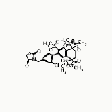 CS(=O)(=O)c1cc2c(cc1-c1ccc(CN3C(=O)CSC3=O)cc1Cl)C(S(C)(=O)=O)(S(C)(=O)=O)CCC2(S(C)(=O)=O)S(C)(=O)=O